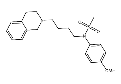 COc1ccc(N(CCCCN2CCc3ccccc3C2)S(C)(=O)=O)cc1